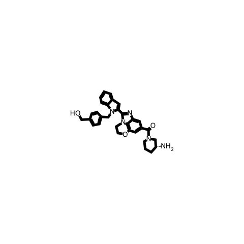 N[C@@H]1CCCN(C(=O)c2cc3c4c(c2)nc(-c2cc5ccccc5n2Cc2ccc(CO)cc2)n4CCO3)C1